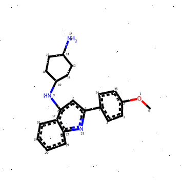 COc1ccc(-c2cc(NC3CCC(N)CC3)c3ccccc3n2)cc1